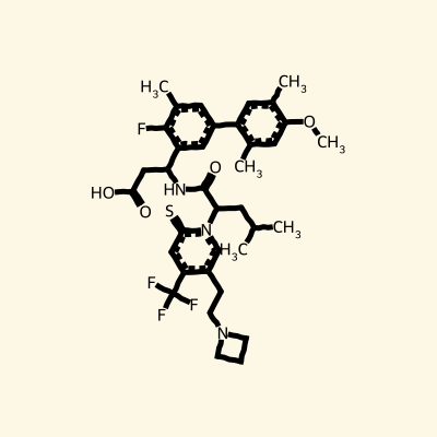 COc1cc(C)c(-c2cc(C)c(F)c(C(CC(=O)O)NC(=O)C(CC(C)C)n3cc(CCN4CCC4)c(C(F)(F)F)cc3=S)c2)cc1C